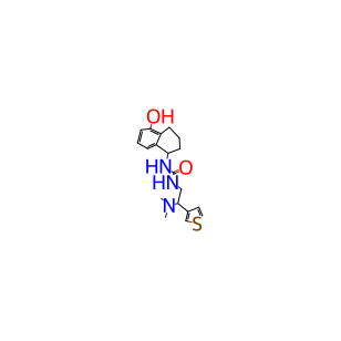 CN(C)C(CNC(=O)NC1CCCc2c(O)cccc21)c1ccsc1